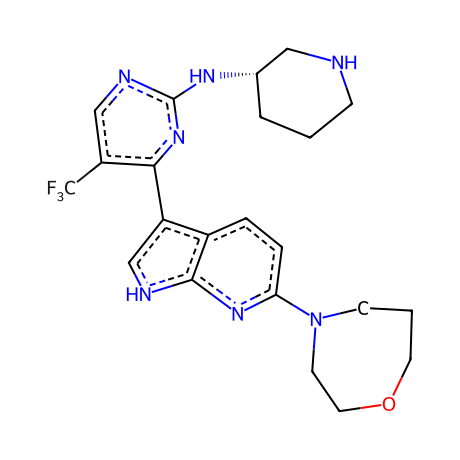 FC(F)(F)c1cnc(N[C@H]2CCCNC2)nc1-c1c[nH]c2nc(N3CCCOCC3)ccc12